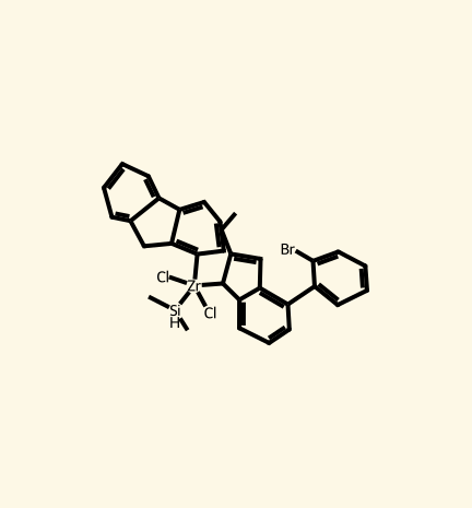 CCC1=Cc2c(-c3ccccc3Br)cccc2[CH]1[Zr]([Cl])([Cl])([c]1cccc2c1Cc1ccccc1-2)[SiH](C)C